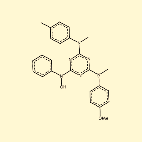 COc1ccc(N(C)c2nc(N(C)c3ccc(C)cc3)nc(N(O)c3ccccc3)n2)cc1